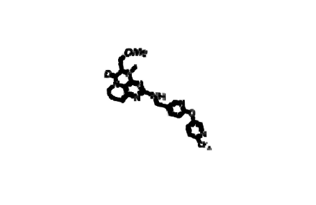 COCC1C(=O)N2CCCc3nc(NCc4ccc(Oc5ccc(C(F)(F)F)nc5)nc4)nc(c32)N1C